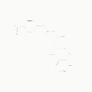 Cc1cccc(CO)c1NC1CCN(CC(=O)Nc2ccc3c(c2)CCC3=O)CC1